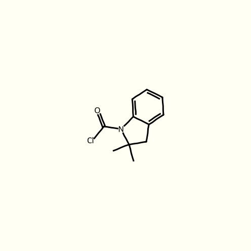 CC1(C)Cc2ccccc2N1C(=O)Cl